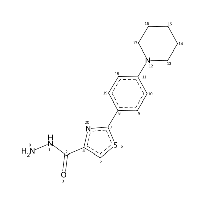 NNC(=O)c1csc(-c2ccc(N3CCCCC3)cc2)n1